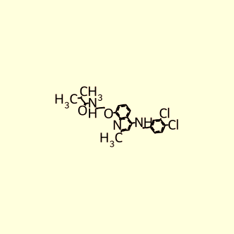 Cc1cc(NCc2ccc(Cl)c(Cl)c2)c2cccc(OCCNC(=O)C(C)C)c2n1